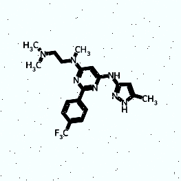 Cc1cc(Nc2cc(N(C)CCN(C)C)nc(-c3ccc(C(F)(F)F)cc3)n2)n[nH]1